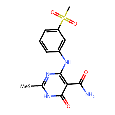 CSc1nc(Nc2cccc(S(C)(=O)=O)c2)c(C(N)=O)c(=O)[nH]1